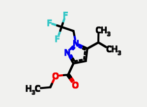 CCOC(=O)c1cc(C(C)C)n(CC(F)(F)F)n1